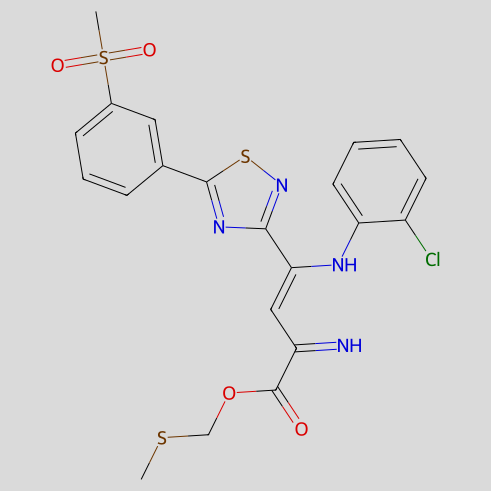 CSCOC(=O)C(=N)/C=C(\Nc1ccccc1Cl)c1nsc(-c2cccc(S(C)(=O)=O)c2)n1